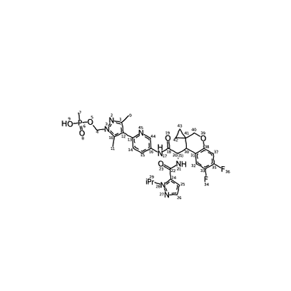 Cc1nn(COP(C)(=O)O)c(C)c1-c1ccc(NC(=O)[C@@H](NC(=O)c2ccnn2C(C)C)C2c3cc(F)c(F)cc3OCC23CC3)cn1